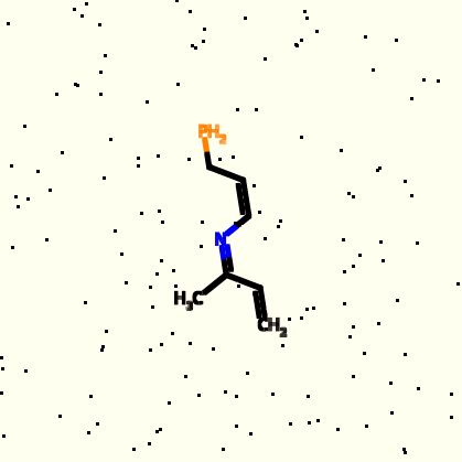 C=C/C(C)=N\C=C/CP